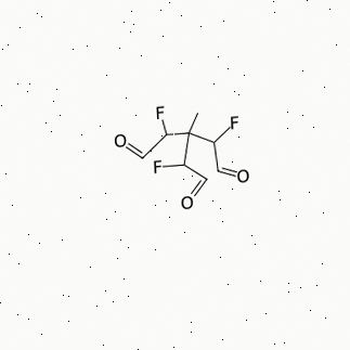 CC(C(F)C=O)(C(F)C=O)C(F)C=O